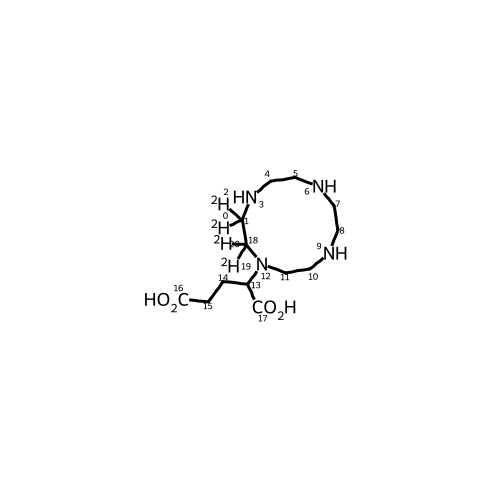 [2H]C1([2H])NCCNCCNCCN(C(CCC(=O)O)C(=O)O)C1([2H])[2H]